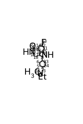 CCN(C)Cc1ccc(-c2[nH]c3cc(F)cc4c3c2CCNC4=O)cc1